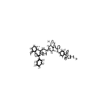 CCN(C(=O)Cc1ccc(S(C)(=O)=O)cc1)C1CCN(CCC(NC(=O)c2ccccc2)c2cccc(F)c2)CC1